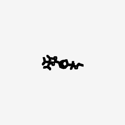 CCO[Si](C)(C)C1CC2CC1CC2C(=O)O[Si](C(C)C)(C(C)C)C(C)C